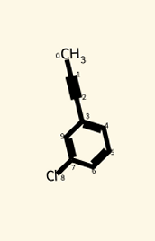 CC#Cc1cccc(Cl)c1